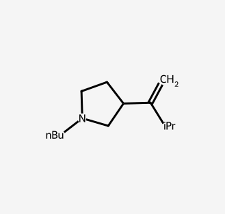 C=C(C(C)C)C1CCN(CCCC)C1